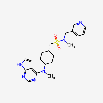 CN(Cc1cccnc1)S(=O)(=O)C[C@H]1CC[C@H](N(C)c2ncnc3[nH]ccc23)CC1